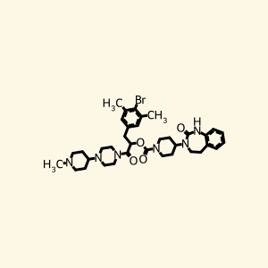 Cc1cc(CC(OC(=O)N2CCC(N3CCc4ccccc4NC3=O)CC2)C(=O)N2CCN(C3CCN(C)CC3)CC2)cc(C)c1Br